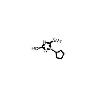 CSc1nc(O)nn1C1CCCC1